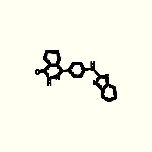 O=c1[nH]nc(-c2ccc(Nc3nc4ccccc4s3)cc2)c2ccccc12